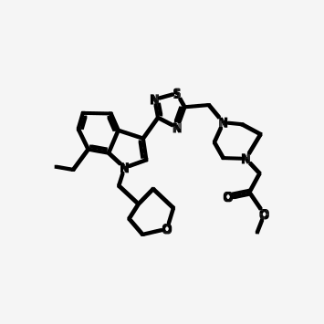 CCc1cccc2c(-c3nsc(CN4CCN(CC(=O)OC)CC4)n3)cn(CC3CCOCC3)c12